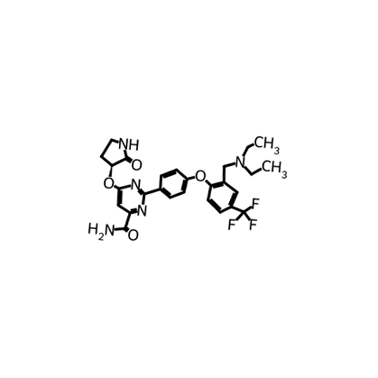 CCN(CC)Cc1cc(C(F)(F)F)ccc1Oc1ccc(-c2nc(O[C@H]3CCNC3=O)cc(C(N)=O)n2)cc1